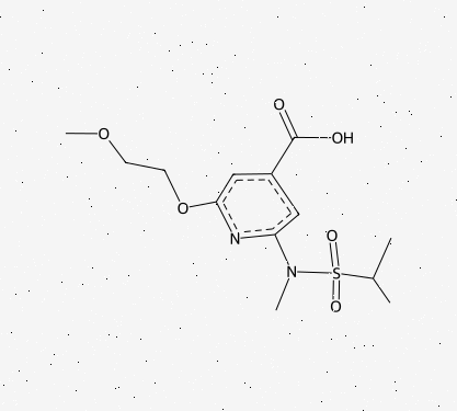 COCCOc1cc(C(=O)O)cc(N(C)S(=O)(=O)C(C)C)n1